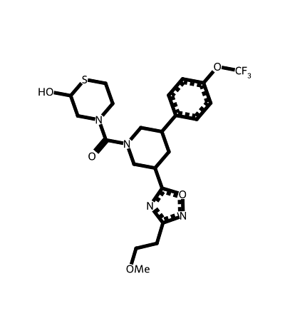 COCCc1noc(C2CC(c3ccc(OC(F)(F)F)cc3)CN(C(=O)N3CCSC(O)C3)C2)n1